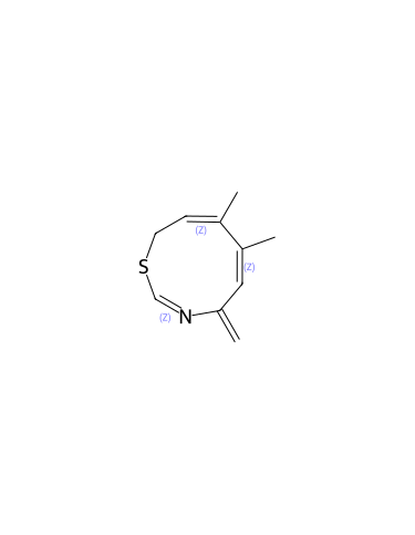 C=C1/C=C(C)\C(C)=C/CS/C=N\1